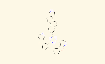 c1ccc2c(c1)oc1nccc(-c3nc(-c4ccc5c(ccc6c7ccncc7ccc56)c4)nc(-c4cccc5oc6ccncc6c45)n3)c12